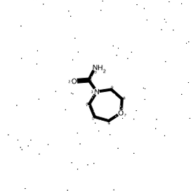 NC(=O)N1CCCOCC1